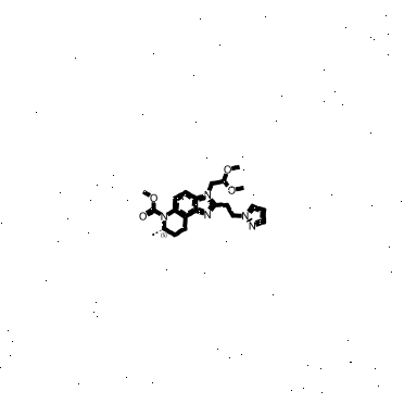 COC(=O)N1c2ccc3c(nc(CCn4cccn4)n3CC(OC)OC)c2CC[C@@H]1C